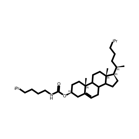 CC(C)CCCCNC(=O)O[C@H]1CC[C@@]2(C)C(=CCC3C2CC[C@@]2(C)C3CC[C@@H]2[C@H](C)CCCC(C)C)C1